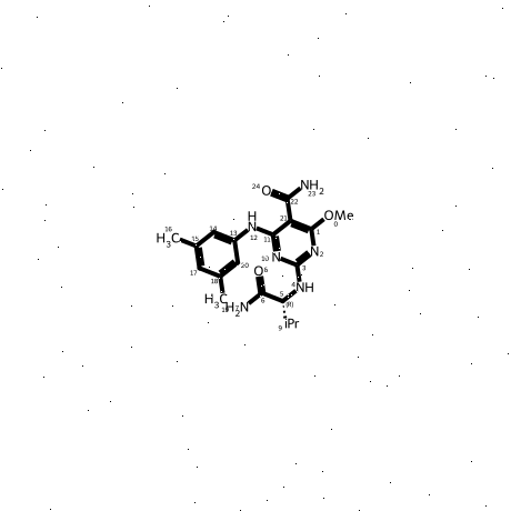 COc1nc(N[C@@H](C(N)=O)C(C)C)nc(Nc2cc(C)cc(C)c2)c1C(N)=O